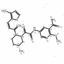 C=C(/C=C\c1sccc1C)[C@@H]1CC[C@@H](C)CN1C(=O)C(=O)Nc1cnc(OC)c(C(N)=O)c1